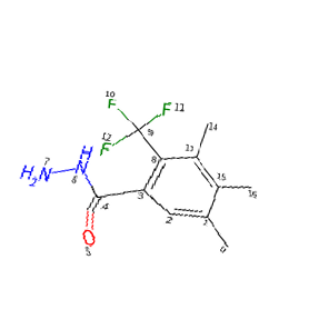 Cc1cc(C(=O)NN)c(C(F)(F)F)c(C)c1C